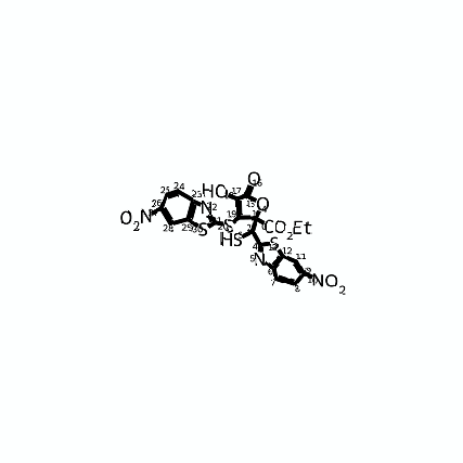 CCOC(=O)C1(C(S)c2nc3ccc([N+](=O)[O-])cc3s2)OC(=O)C(O)=C1Sc1nc2ccc([N+](=O)[O-])cc2s1